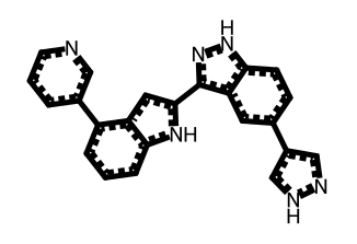 c1cncc(-c2cccc3[nH]c(-c4n[nH]c5ccc(-c6cn[nH]c6)cc45)cc23)c1